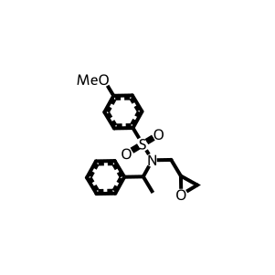 COc1ccc(S(=O)(=O)N(CC2CO2)C(C)c2ccccc2)cc1